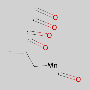 C=C[CH2][Mn].[C]=O.[C]=O.[C]=O.[C]=O.[C]=O